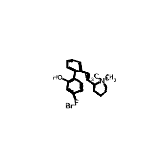 C[N+]1(C)CCCCC1CCc1ccccc1-c1ccc(F)cc1O.[Br-]